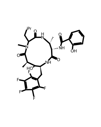 CC(C)CC1C(=O)N[C@H](C)[C@H](NC(=O)c2ccccc2O)C(=O)N[C@@H](Cc2c(F)c(F)c(F)c(F)c2F)[C@@H](O)[C@@H](C)C(=O)N1C